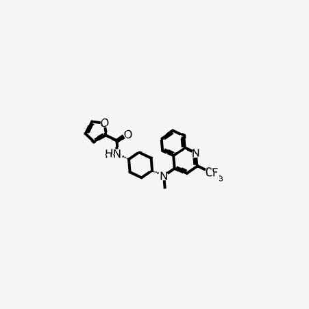 CN(c1cc(C(F)(F)F)nc2ccccc12)[C@H]1CC[C@@H](NC(=O)c2ccco2)CC1